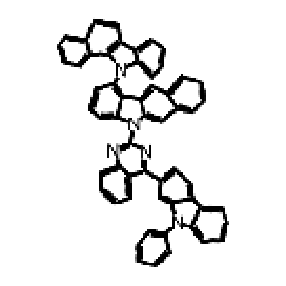 c1ccc(-n2c3ccccc3c3ccc(-c4nc(-n5c6cc7ccccc7cc6c6c(-n7c8ccccc8c8ccc9ccccc9c87)cccc65)nc5ccccc45)cc32)cc1